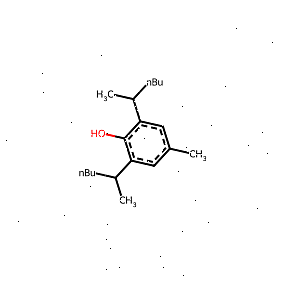 CCCCC(C)c1cc(C)cc(C(C)CCCC)c1O